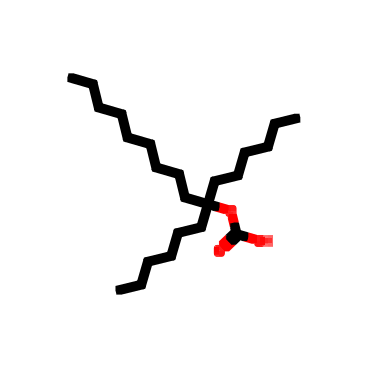 CCCCCCCCCC(CCCCCC)(CCCCCC)OC(=O)O